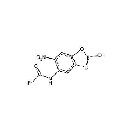 CC(C)C(=O)Nc1cc2c(cc1[N+](=O)[O-])OB(O)O2